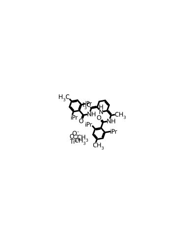 CC(NC(=O)c1c(C(C)C)cc(C)cc1C(C)C)=C1C=CCC(=C(C)NC(=O)c2c(C(C)C)cc(C)cc2C(C)C)N1.C[O-].C[O-].[Ti+2]